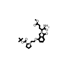 COC(=O)CCC(C(N)=O)N1Cc2c(OCCN3CCC[C@@H]3C(=O)OC(C)(C)C)cccc2C1=O